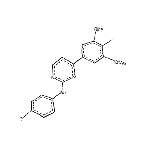 COc1cc(-c2ccnc(Nc3ccc(F)cc3)n2)cc(OC)c1C